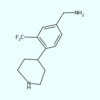 NCc1ccc(C2CCNCC2)c(C(F)(F)F)c1